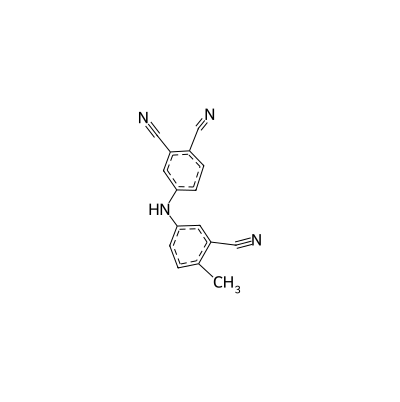 Cc1ccc(Nc2ccc(C#N)c(C#N)c2)cc1C#N